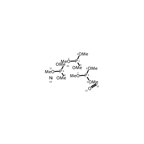 COP(OC)OC.COP(OC)OC.COP(OC)OC.[C]=O.[Ni]